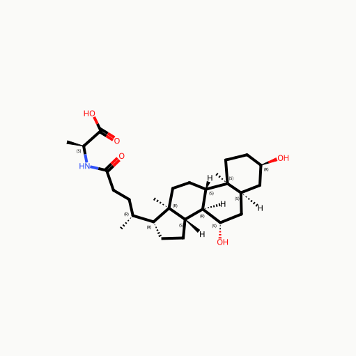 C[C@H](NC(=O)CC[C@@H](C)[C@H]1CC[C@H]2[C@@H]3[C@@H](O)C[C@@H]4C[C@H](O)CC[C@]4(C)[C@H]3CC[C@]12C)C(=O)O